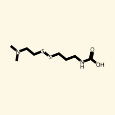 CN(C)CCSSCCCNC(=O)O